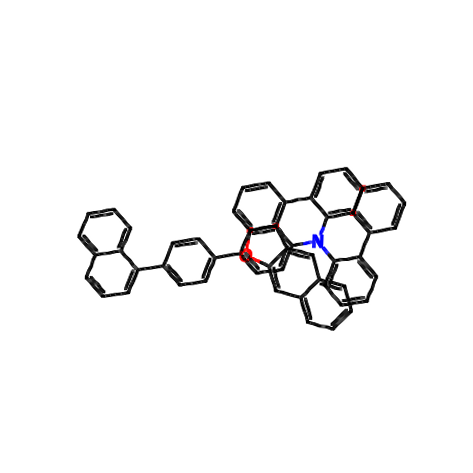 c1ccc(-c2ccccc2N(c2ccc(-c3ccc(-c4cccc5ccccc45)cc3)cc2)c2ccccc2-c2cccc3oc4cc5ccccc5cc4c23)cc1